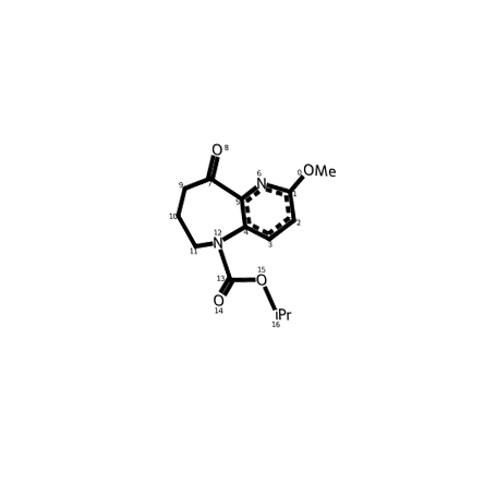 COc1ccc2c(n1)C(=O)CCCN2C(=O)OC(C)C